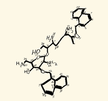 CC(OCc1cccc2ccccc12)C(N)CC(N)C(CO)OC1OC(CN)C(O)C(OCc2cccc3ccccc23)C1N